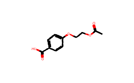 CC(=O)OCCOc1ccc(C(=O)O)cc1